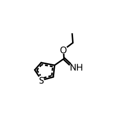 CCOC(=N)c1ccsc1